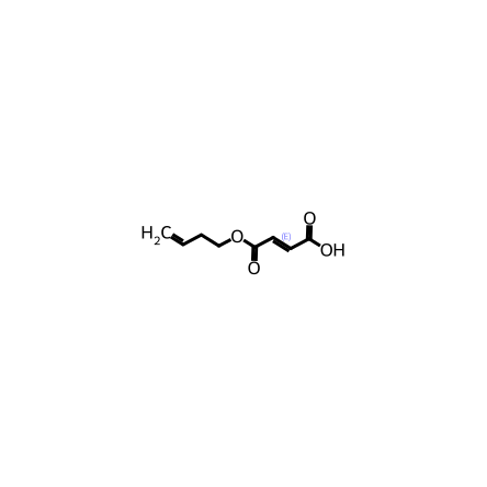 C=CCCOC(=O)/C=C/C(=O)O